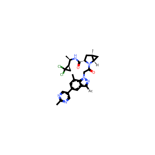 CC(=O)c1nn(CC(=O)N2[C@H](C(=O)N[C@H](C)[C@H]3CC3(Cl)Cl)C[C@@]3(C)C[C@@H]23)c2c(C)cc(-c3cnc(C)nc3)cc12